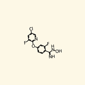 N=C(NO)c1ccc(Oc2ncc(Cl)cc2F)cc1F